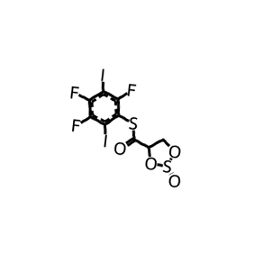 O=C(Sc1c(F)c(I)c(F)c(F)c1I)C1COS(=O)O1